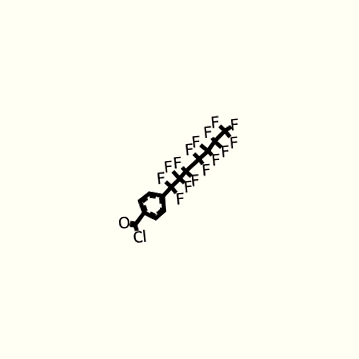 O=C(Cl)c1ccc(C(F)(F)C(F)(F)C(F)(F)C(F)(F)C(F)(F)C(F)(F)C(F)(F)F)cc1